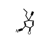 C#CC1(CCC)C=CC(=O)C(C#N)=C1